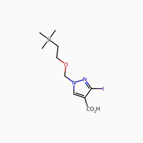 C[Si](C)(C)CCOCn1cc(C(=O)O)c(I)n1